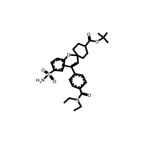 CCN(CC)C(=O)c1ccc(C2=CC3(CCC(C(=O)OC(C)(C)C)CC3)Oc3ccc(S(N)(=O)=O)cc32)cc1